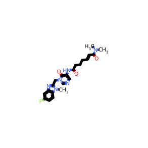 CN(C)C(=O)/C=C/CCCC(=O)Nc1cncn(Cc2nc3cc(F)ccc3n2C)c1=O